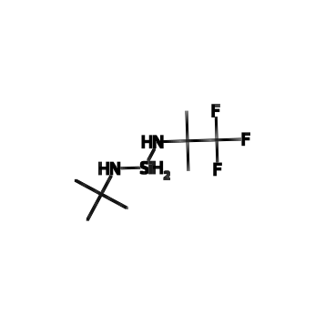 CC(C)(C)N[SiH2]NC(C)(C)C(F)(F)F